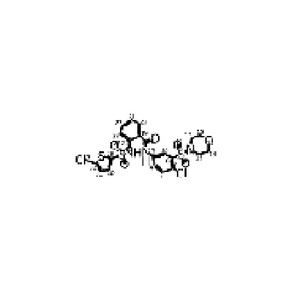 O=C(Nc1ccc(Cl)c(S(=O)(=O)N2CCOCC2)c1)c1ccccc1NS(=O)(=O)c1ccc(Cl)s1